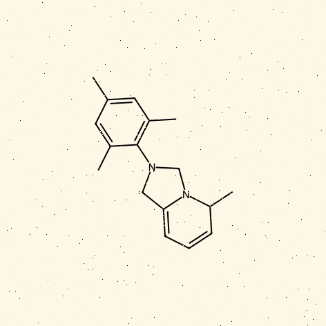 Cc1cc(C)c(N2[C]C3=CC=CC(C)N3C2)c(C)c1